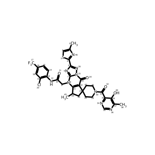 Cc1csc(-c2nc3n(CC(=O)Nc4ccc(C(F)(F)F)cc4Cl)c4c(c(=O)n3n2)C2(CCN(C(=O)c3ncnc(C)c3O)CC2)CC4C)n1